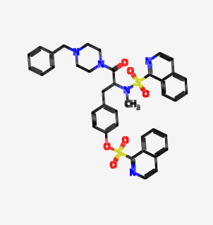 CN(C(Cc1ccc(OS(=O)(=O)c2nccc3ccccc23)cc1)C(=O)N1CCN(Cc2ccccc2)CC1)S(=O)(=O)c1nccc2ccccc12